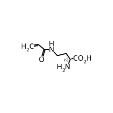 C=CC(=O)NCC[C@H](N)C(=O)O